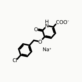 O=C([O-])c1ccc(OCc2ccc(Cl)cc2)c(=O)[nH]1.[Na+]